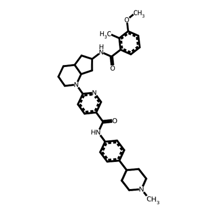 COc1cccc(C(=O)NC2CC3CCCN(c4ccc(C(=O)Nc5ccc(C6CCN(C)CC6)cc5)cn4)C3C2)c1C